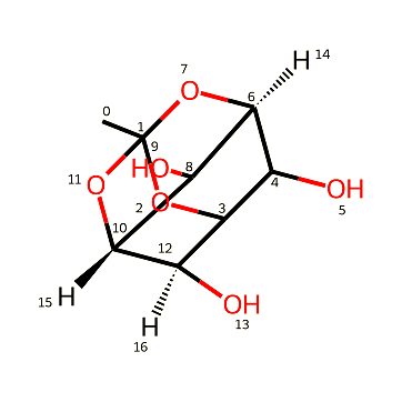 CC12OC3C(O)[C@H](O1)C(O)[C@@H](O2)[C@@H]3O